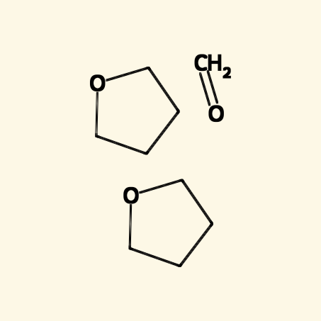 C1CCOC1.C1CCOC1.C=O